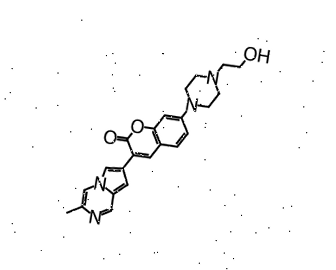 Cc1cn2cc(-c3cc4ccc(N5CCN(CCO)CC5)cc4oc3=O)cc2cn1